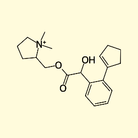 C[N+]1(C)CCCC1COC(=O)C(O)c1ccccc1C1=CCCC1